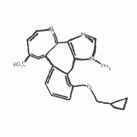 Cn1cnc2c3nccc(C(=O)O)c3c3cccc(OCC4CC4)c3c21